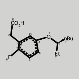 CCCC[C@@H](CC)Oc1ccc(F)c(CC(=O)O)c1